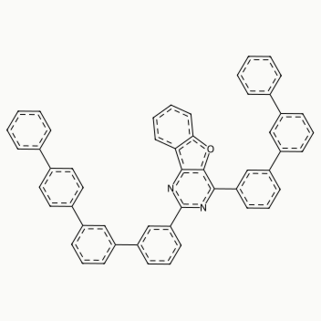 c1ccc(-c2ccc(-c3cccc(-c4cccc(-c5nc(-c6cccc(-c7cccc(-c8ccccc8)c7)c6)c6oc7ccccc7c6n5)c4)c3)cc2)cc1